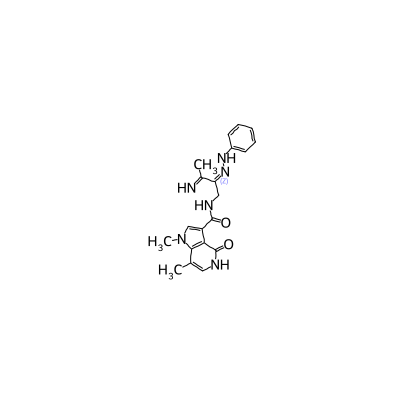 CC(=N)/C(CNC(=O)c1cn(C)c2c(C)c[nH]c(=O)c12)=N\Nc1ccccc1